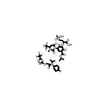 CC(C)N(C(=O)COc1nnc(C(F)(F)F)s1)c1ccc(F)cc1.CC(C)OC(=O)c1cc(-n2c(=O)cc(C(F)(F)F)n(C)c2=O)ccc1Cl.CP(=O)(O)CCC(N)C(=O)O